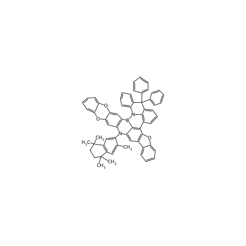 Cc1cc2c(cc1N1c3cc4c(cc3B3c5c1cc1c(oc6ccccc61)c5-c1cccc5c1N3c1ccccc1C5(c1ccccc1)c1ccccc1)Oc1ccccc1O4)C(C)(C)CCC2(C)C